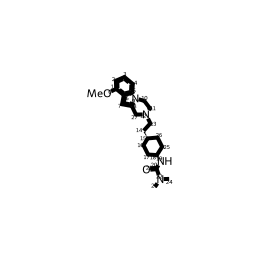 COc1cccc2c1cc1n2CCN(CC[C@H]2CC[C@H](NC(=O)N(C)C)CC2)C1